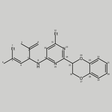 C=C(C)C(/C=C(/C)CC)Nc1cc(CC)nc(C2COc3ccccc3O2)n1